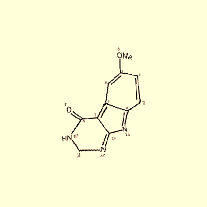 COc1ccc2c(c1)=C1C(=O)NCN=C1N=2